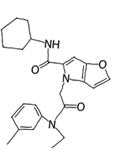 CCN(C(=O)Cn1c(C(=O)NC2CCCCC2)cc2occc21)c1cccc(C)c1